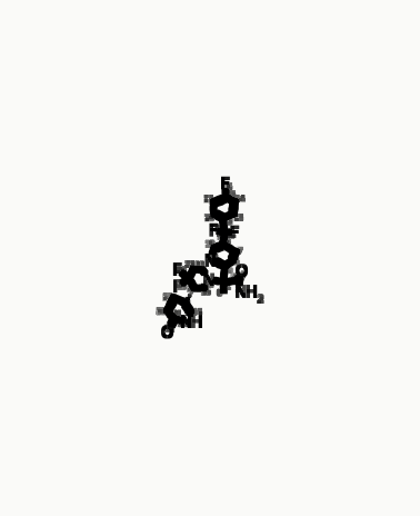 CC(C(N)=O)(c1ccc(C(F)(F)c2ccc(F)cc2)cn1)N1CCC(F)(F)[C@@H](c2ccc(=O)[nH]c2)C1